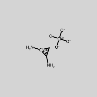 Nc1c[c+]1N.[O-][Cl+3]([O-])([O-])[O-]